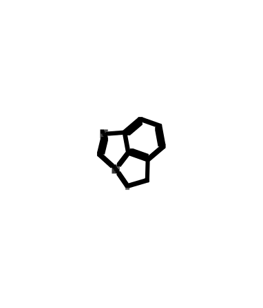 [CH]1Cc2cccc3ncn1c23